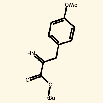 COc1ccc(CC(=N)C(=O)OC(C)(C)C)cc1